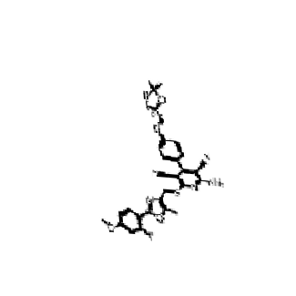 COc1ccc(-c2nc(CSc3nc(N)c(C#N)c(-c4ccc(OC[C@H]5COC(C)(C)O5)cc4)c3C#N)c(C)o2)c(F)c1